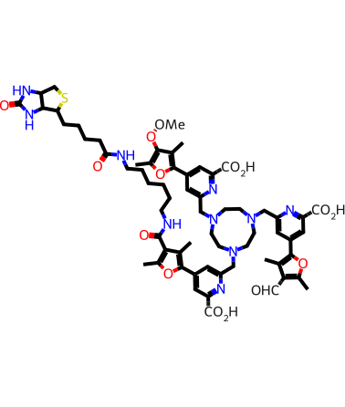 COOc1c(C)oc(-c2cc(CN3CCN(Cc4cc(-c5oc(C)c(C=O)c5C)cc(C(=O)O)n4)CCN(Cc4cc(-c5oc(C)c(C(=O)NCCCCCCNC(=O)CCCCC6SCC7NC(=O)NC76)c5C)cc(C(=O)O)n4)CC3)nc(C(=O)O)c2)c1C